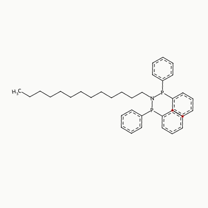 CCCCCCCCCCCCCN(P(c1ccccc1)c1ccccc1)P(c1ccccc1)c1ccccc1